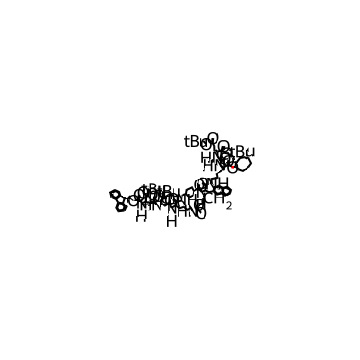 C=CCOC(=O)NCCCCC(NC(=O)CC(NC(=O)CC(NC(=O)OCC1c2ccccc2-c2ccccc21)C(=O)OC(C)(C)C)C(=O)OC(C)(C)C)C(=O)NCC1CCC(C(=O)NC(Cc2ccc3ccccc3c2)C(=O)NCCCCC(NC(=O)NC(CCC(=O)OC(C)(C)C)C(=O)OC(C)(C)C)C(=O)OC2CCCCCCCC2)CC1